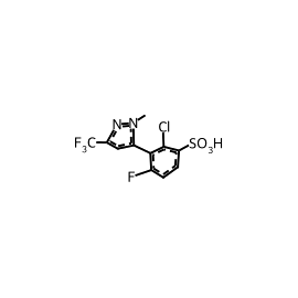 Cn1nc(C(F)(F)F)cc1-c1c(F)ccc(S(=O)(=O)O)c1Cl